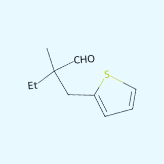 CCC(C)(C=O)Cc1cccs1